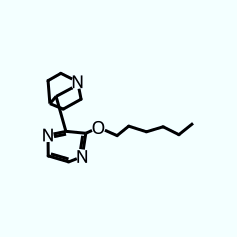 CCCCCCOc1nccnc1C1CN2CCC1CC2